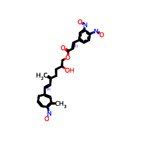 C=C(/C=C/C1=CC(C)=C(N=O)C=CC1)CCC(O)COC(=O)/C=C/c1ccc(N=O)c(N=O)c1